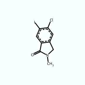 CN1Cc2cc(Cl)c(I)cc2C1=O